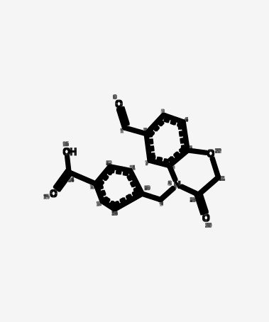 O=Cc1ccc2c(c1)N(Cc1ccc(C(=O)O)cc1)C(=O)CO2